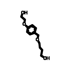 OCCCCOCc1ccc(OCCO)cc1